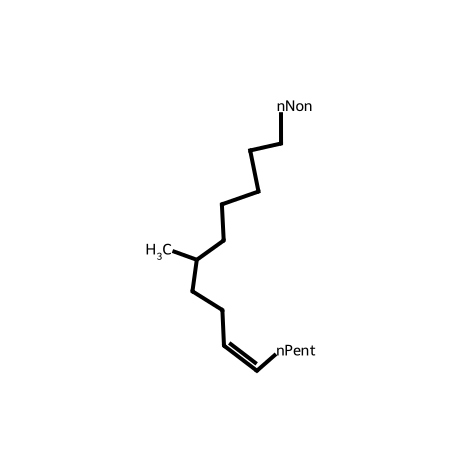 CCCCC/C=C\CCC(C)CCCCCCCCCCCCCC